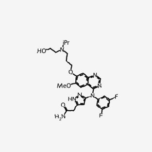 COc1cc2c(N(c3cc(F)cc(F)c3)c3cc(CC(N)=O)[nH]n3)ncnc2cc1OCCCN(CCO)C(C)C